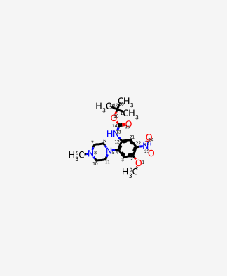 COc1cc(N2CCN(C)CC2)c(NC(=O)OC(C)(C)C)cc1[N+](=O)[O-]